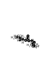 COC(=O)N[C@H](C(=O)N1CCC[C@H]1c1ncc(-c2ccc3c4ccc(-c5cnc([C@@H]6CCCN6C(=O)[C@H](C(C)C)N(C)C(=O)O)[nH]5)cc4n(S(=O)(=O)c4ccccc4)c3c2)[nH]1)C(C)C